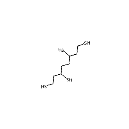 SCCC(S)CCC(S)CCS